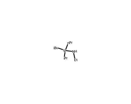 CCC[Si](NCC)(C(C)C)C(C)CC